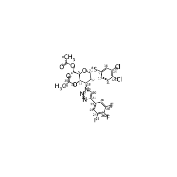 CC(=O)OC[C@H]1O[C@H](Sc2ccc(Cl)c(Cl)c2)C[C@@H](n2cc(-c3cc(F)c(F)c(F)c3)nn2)[C@H]1OC(C)=O